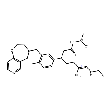 CCP/C=C(\N)CCC(CC(=O)N[S+](C)[O-])c1ccc(C)c(CN2CCOc3ccncc3C2)c1